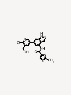 Cc1nc(C(=O)Nc2cc(-c3cnc(Cl)c(CO)c3)cc3[nH]ncc23)cs1